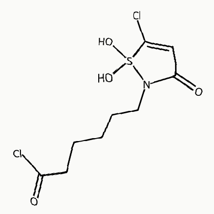 O=C(Cl)CCCCCN1C(=O)C=C(Cl)S1(O)O